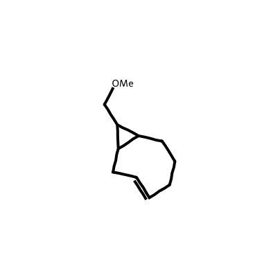 COCC1C2C/C=C/CCCC21